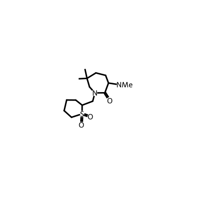 CNC1CCC(C)(C)CN(CC2CCCCS2(=O)=O)C1=O